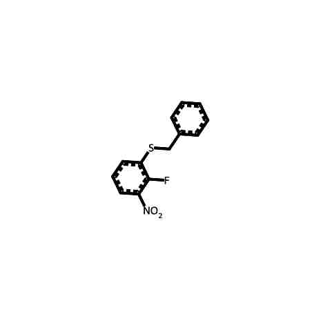 O=[N+]([O-])c1cccc(SCc2ccccc2)c1F